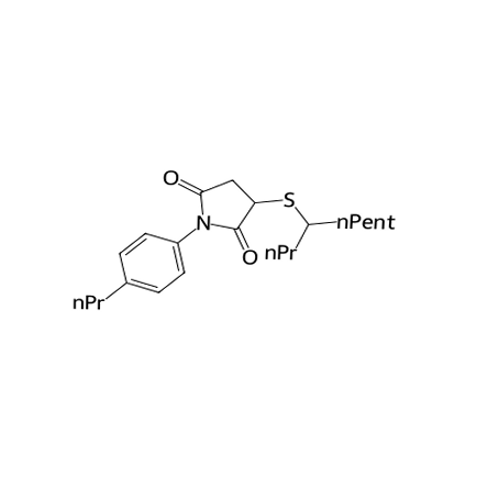 CCCCCC(CCC)SC1CC(=O)N(c2ccc(CCC)cc2)C1=O